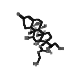 CCOC(C)O[C@]1(C(=O)CO)CC[C@H]2[C@@H]3CCC4=CC(=O)CC[C@]4(C)[C@H]3C(O)C[C@@]21C